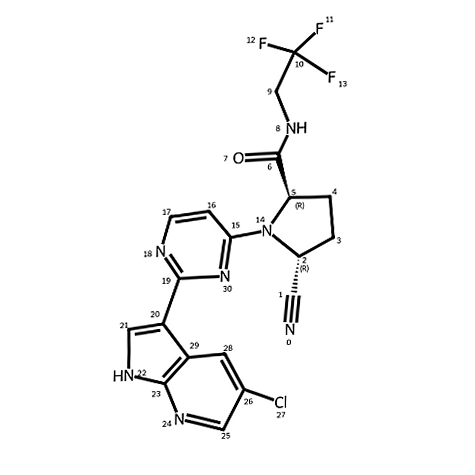 N#C[C@H]1CC[C@H](C(=O)NCC(F)(F)F)N1c1ccnc(-c2c[nH]c3ncc(Cl)cc23)n1